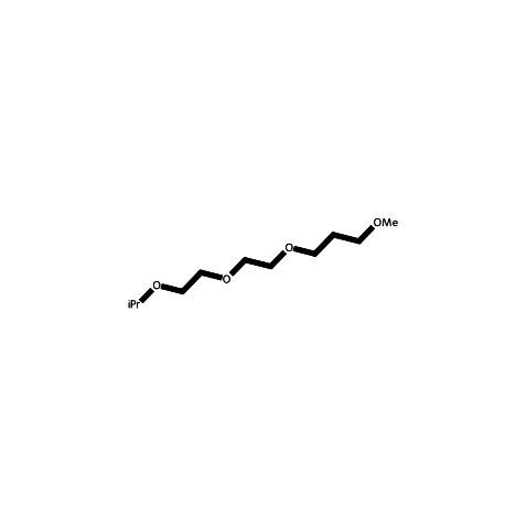 COCCCOCCOCCOC(C)C